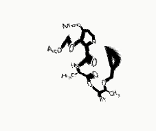 COc1ccnc(C(=O)N[C@@H](C)C(=O)OC(C(C)C)[C@H](C)OCC2CC2)c1OCOC(C)=O